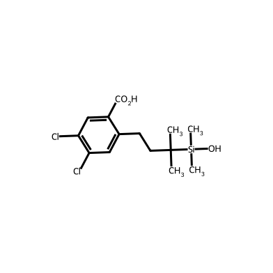 CC(C)(CCc1cc(Cl)c(Cl)cc1C(=O)O)[Si](C)(C)O